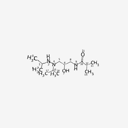 CC(C)NN(CC(O)CNC(=O)C(C)C)C(C)C